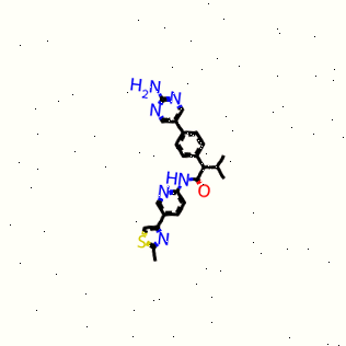 Cc1nc(-c2ccc(NC(=O)C(c3ccc(-c4cnc(N)nc4)cc3)C(C)C)nc2)cs1